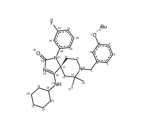 CC[C@@H](C)Oc1cccc(CN2CC[C@@]3(CC2(C)I)C(NC2CCCCC2)=NC(=O)N3c2cccc(F)c2)c1